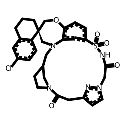 O=C1Cn2ccc(n2)CC(=O)N2CCC(C2)CN2C[C@@]3(CCCc4cc(Cl)ccc43)COc3ccc(cc32)S(=O)(=O)N1